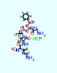 CO/N=C(\C(=O)N[C@H]1C(=O)N2[C@@H]1SC(C)(C)[C@@H]2C(=O)OC(NC(=O)CN)OC(=O)c1ccccc1)c1csc(N)n1.Cl